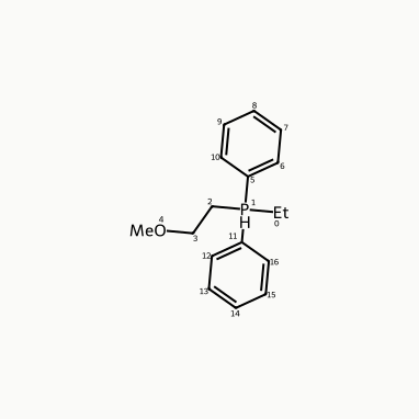 CC[PH](CCOC)(c1ccccc1)c1ccccc1